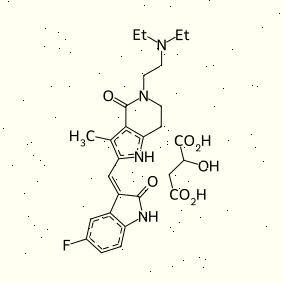 CCN(CC)CCN1CCc2[nH]c(C=C3C(=O)Nc4ccc(F)cc43)c(C)c2C1=O.O=C(O)CC(O)C(=O)O